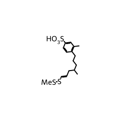 CSSC=CCC(C)CCCc1ccc(S(=O)(=O)O)cc1C